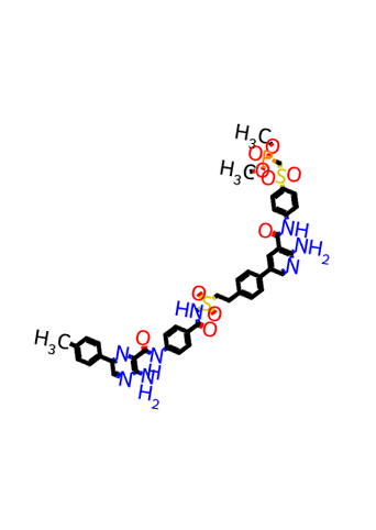 COP(=O)(CS(=O)(=O)c1ccc(NC(=O)c2cc(-c3ccc(CCS(=O)(=O)NC(=O)c4ccc(NC(=O)c5nc(-c6ccc(C)cc6)cnc5N)cc4)cc3)cnc2N)cc1)OC